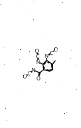 Cc1ccc(C(=O)N=C=O)c(N=C=O)c1N=C=O